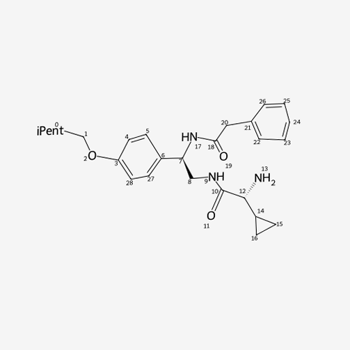 CCCC(C)COc1ccc([C@H](CNC(=O)[C@H](N)C2CC2)NC(=O)Cc2ccccc2)cc1